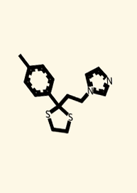 Cc1ccc(C2(CCn3ccnc3)SCCS2)cc1